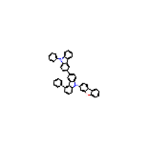 c1ccc(-c2cccc3c2c2cc(-c4ccc5c(c4)c4ccccc4n5-c4ccccc4)ccc2n3-c2ccc3c(c2)oc2ccccc23)cc1